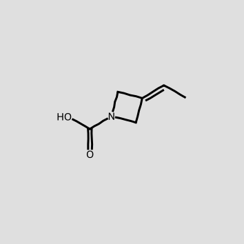 CC=C1CN(C(=O)O)C1